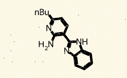 CCCCc1ccc(-c2nc3ccccc3[nH]2)c(N)n1